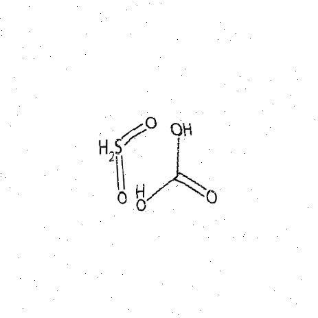 O=C(O)O.O=[SH2]=O